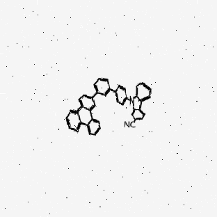 N#Cc1ccc2c3ccccc3n(-c3ccc(-c4cccc(-c5ccc6c7ccccc7c7ccccc7c6c5)c4)cc3)c2c1